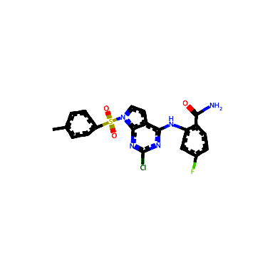 Cc1ccc(S(=O)(=O)n2ccc3c(Nc4cc(F)ccc4C(N)=O)nc(Cl)nc32)cc1